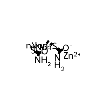 CCCCCCCCCC.CCCCCCCCCC.NC([O-])=S.NC([O-])=S.[Zn+2]